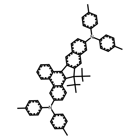 Cc1ccc(N(c2ccc(C)cc2)c2ccc3cc4c(cc3c2)C(C(C)(C)C)(C(C)(C)C)c2c-4c3ccccc3c3cc(N(c4ccc(C)cc4)c4ccc(C)cc4)ccc23)cc1